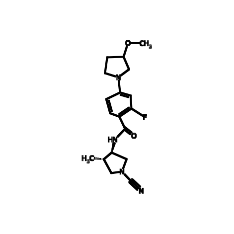 COC1CCN(c2ccc(C(=O)N[C@H]3CN(C#N)C[C@@H]3C)c(F)c2)C1